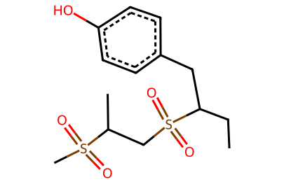 CCC(Cc1ccc(O)cc1)S(=O)(=O)CC(C)S(C)(=O)=O